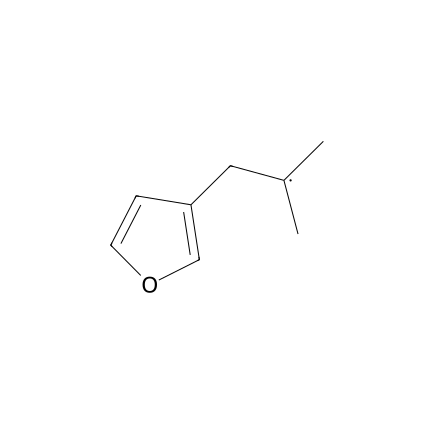 C[C](C)Cc1ccoc1